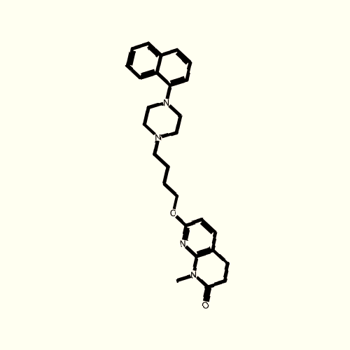 CN1C(=O)CCc2ccc(OCCCCN3CCN(c4cccc5ccccc45)CC3)nc21